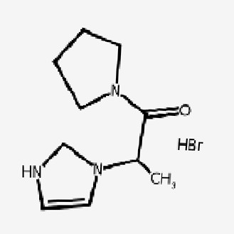 Br.CC(C(=O)N1CCCC1)N1C=CNC1